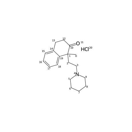 CC1(CCN2CCCCC2)C(=O)CCc2ccccc21.Cl